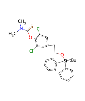 CN(C)C(=S)Oc1c(Cl)cc(CCO[Si](c2ccccc2)(c2ccccc2)C(C)(C)C)cc1Cl